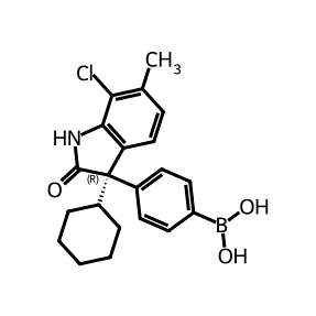 Cc1ccc2c(c1Cl)NC(=O)[C@@]2(c1ccc(B(O)O)cc1)C1CCCCC1